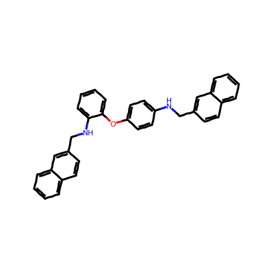 c1ccc(Oc2ccc(NCc3ccc4ccccc4c3)cc2)c(NCc2ccc3ccccc3c2)c1